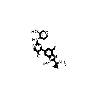 CC(C)n1c(C2(N)CC2)nc2c(F)cc(-c3nc(N[C@@H]4CCOC[C@H]4O)ncc3Cl)cc21